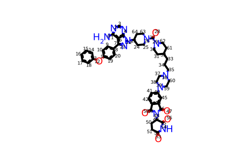 Nc1ncnc2c1c(-c1ccc(Oc3ccccc3)cc1)nn2C1CCN(C(=O)N2CCC(CCCN3CCN(c4ccc5c(c4)C(=O)N(C4CCC(=O)NC4=O)C5=O)CC3)CC2)CC1